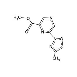 COC(=O)c1cncc(-n2ncc(C)n2)n1